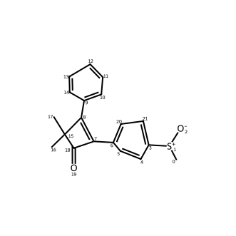 C[S+]([O-])c1ccc(C2=C(c3ccccc3)C(C)(C)C2=O)cc1